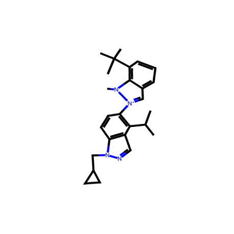 CC(C)c1c(-[n+]2cc3cccc(C(C)(C)C)c3n2C)ccc2c1cnn2CC1CC1